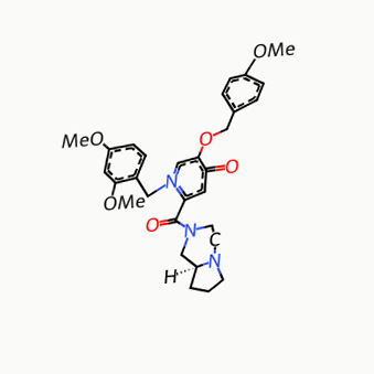 COc1ccc(COc2cn(Cc3ccc(OC)cc3OC)c(C(=O)N3CCN4CCC[C@H]4C3)cc2=O)cc1